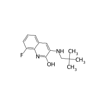 CC(C)(C)CNc1cc2cccc(F)c2nc1O